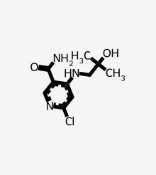 CC(C)(O)CNc1cc(Cl)ncc1C(N)=O